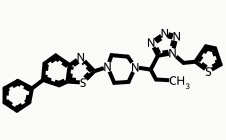 CCC(c1nnnn1Cc1cccs1)N1CCN(c2nc3ccc(-c4ccccc4)cc3s2)CC1